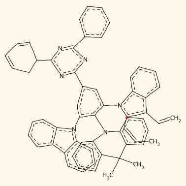 C=Cc1c(/C=C\C)n(-c2cc(-c3nc(-c4ccccc4)nc(C4C=CC=CC4)n3)cc(-n3c4ccccc4c4ccccc43)c2N2c3ccccc3C(C)(C)c3ccccc32)c2ccccc12